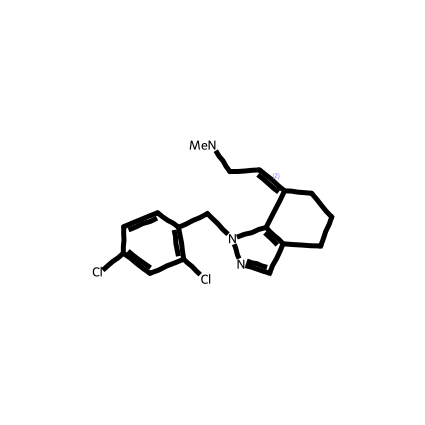 CNC/C=C1/CCCc2cnn(Cc3ccc(Cl)cc3Cl)c21